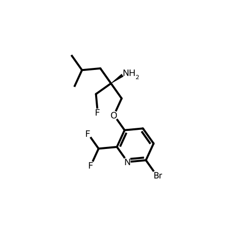 CC(C)C[C@@](N)(CF)COc1ccc(Br)nc1C(F)F